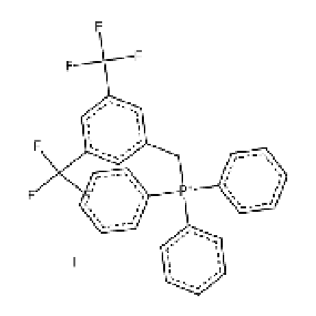 FC(F)(F)c1cc(C[P+](c2ccccc2)(c2ccccc2)c2ccccc2)cc(C(F)(F)F)c1.[I-]